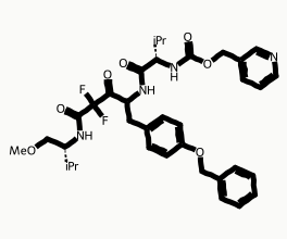 COC[C@H](NC(=O)C(F)(F)C(=O)C(Cc1ccc(OCc2ccccc2)cc1)NC(=O)[C@@H](NC(=O)OCc1cccnc1)C(C)C)C(C)C